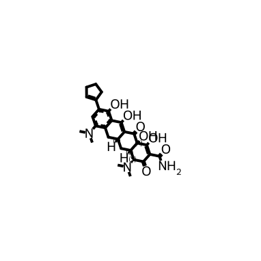 CN(C)c1cc(C2=CCCC2)c(O)c2c1C[C@H]1C[C@H]3[C@H](N(C)C)C(=O)C(C(N)=O)=C(O)[C@@]3(O)C(=O)C1=C2O